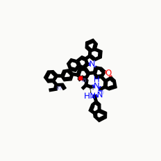 C=C/C(=C/C)c1ccccc1-c1ccc(-c2ccc(-c3cc4c(cc3-n3c5cc6c(cc5c5c7ccccc7ccc53)CCC=C6)oc3cccc(/C(=N/C(=N)c5ccc6ccccc6c5)N[C@H](C)C(C)/C=C\C)c34)cc2)cc1